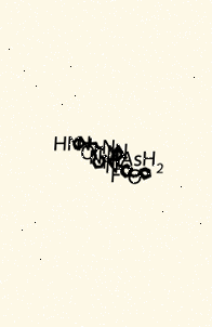 CC(C)(/C=C(/C#N)C(=O)N1CCC[C@H](n2nc(-c3ccc(Oc4ccccc4)cc3F)c3c([AsH2])ncnc32)C1)N1CCNCC1